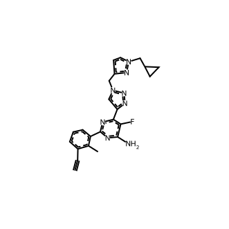 C#Cc1cccc(-c2nc(N)c(F)c(-c3cn(Cc4ccn(CC5CC5)n4)nn3)n2)c1C